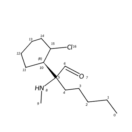 CCCCCC(C=O)(NC)[C@H]1CCCCC1Cl